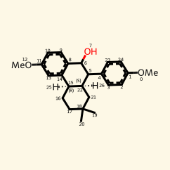 COc1ccc(C2C(O)c3ccc(OC)cc3[C@@H]3CCC(C)(C)C[C@H]23)cc1